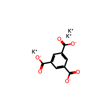 O=C([O-])c1cc(C(=O)[O-])cc(C(=O)[O-])c1.[K+].[K+].[K+]